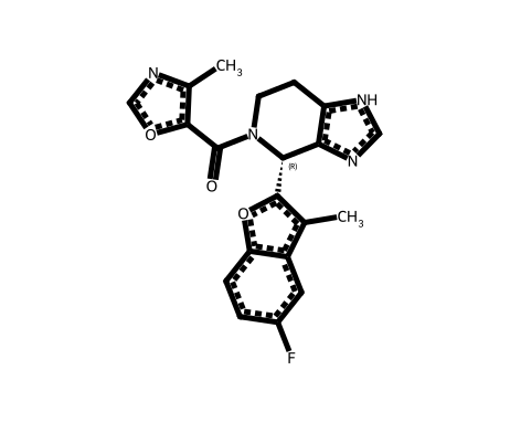 Cc1ncoc1C(=O)N1CCc2[nH]cnc2[C@@H]1c1oc2ccc(F)cc2c1C